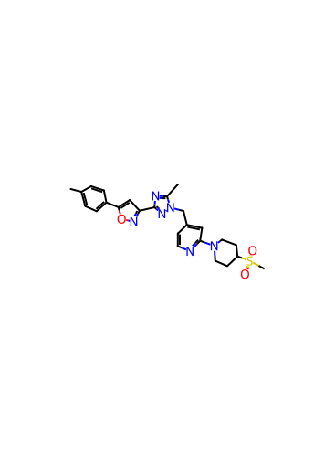 Cc1ccc(-c2cc(-c3nc(C)n(Cc4ccnc(N5CCC(S(C)(=O)=O)CC5)c4)n3)no2)cc1